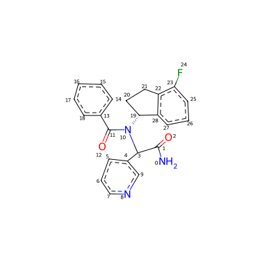 NC(=O)C(c1cccnc1)N(C(=O)c1ccccc1)[C@@H]1CCc2c(F)cccc21